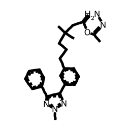 C=C(CC(C)(C)CCCc1cccc(-c2nn(C)nc2-c2ccccc2)c1)O/C(C)=N\N